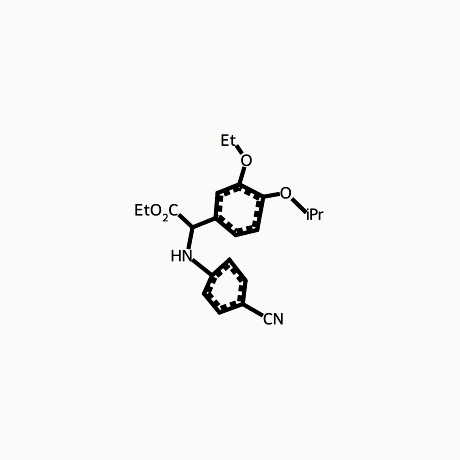 CCOC(=O)C(Nc1ccc(C#N)cc1)c1ccc(OC(C)C)c(OCC)c1